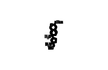 CCCCCC[C@@H]1CC2=CCC(C)([C@H]3CC[C@](N)(CO)C3)C=C2CO1